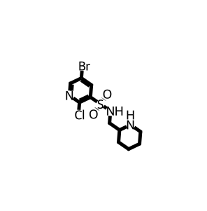 O=S(=O)(NCC1CCCCN1)c1cc(Br)cnc1Cl